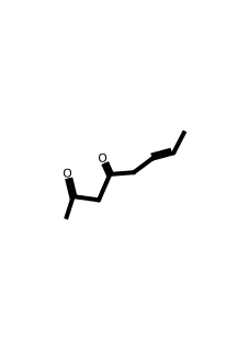 CC=CCC(=O)CC(C)=O